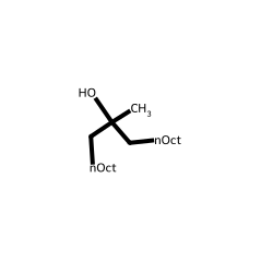 CCCCCCCCCC(C)(O)CCCCCCCCC